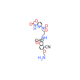 N#Cc1c(OCCN)ccc2c1CC(CNCCC1CN(c3ccc4c(n3)NC(=O)CO4)C(=O)O1)C2OC=O